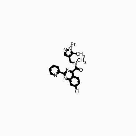 CCn1ncc(CN(C)C(=O)c2nc(-c3ccccn3)nc3cc(Cl)ccc23)c1C